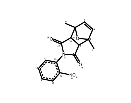 CC12C=CC(C)(O1)C1C(=O)N(c3ccccc3[N+](=O)[O-])C(=O)C12